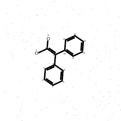 ClC(Cl)=C(c1ccccc1)c1ccccc1